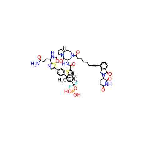 CC(C)(C)c1ccc(-c2cnc([C@H](CCC(N)=O)NC(=O)[C@@H]3CC[C@@H]4CCN(C(=O)CCCCCC#Cc5cccc6c5CN(C5CCC(=O)NC5=O)C6=O)C[C@H](NC(=O)c5cc6cc(C(F)(F)OP(O)O)ccc6s5)C(=O)N43)s2)cc1